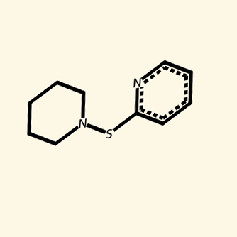 c1ccc(SN2CCCCC2)nc1